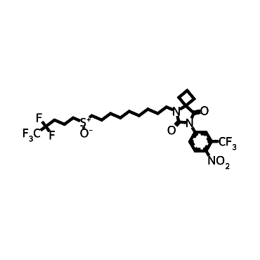 O=C1N(c2ccc([N+](=O)[O-])c(C(F)(F)F)c2)C(=O)C2(CCC2)N1CCCCCCCCC[S+]([O-])CCCC(F)(F)C(F)(F)F